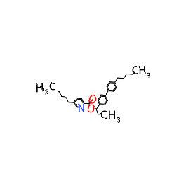 CCCCCCc1ccc(C(=O)OC(CC)c2ccc(-c3ccc(CCCCC)cc3)cc2)nc1